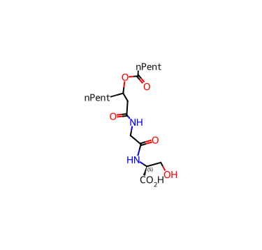 CCCCCC(=O)OC(CCCCC)CC(=O)NCC(=O)N[C@@H](CO)C(=O)O